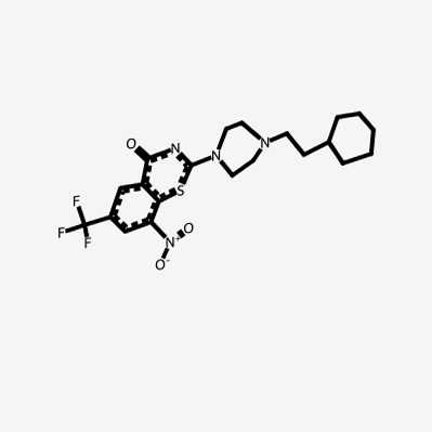 O=c1nc(N2CCN(CCC3CCCCC3)CC2)sc2c([N+](=O)[O-])cc(C(F)(F)F)cc12